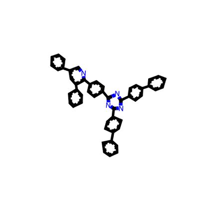 c1ccc(-c2ccc(-c3nc(-c4ccc(-c5ccccc5)cc4)nc(-c4ccc(-c5ncc(-c6ccccc6)cc5-c5ccccc5)cc4)n3)cc2)cc1